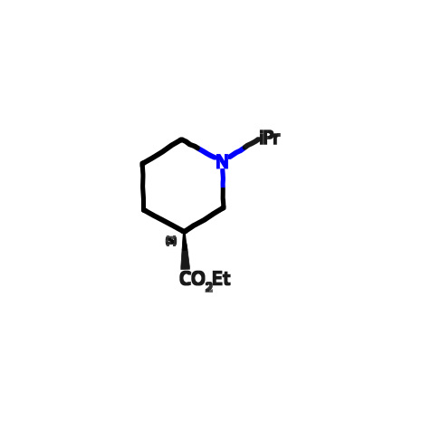 CCOC(=O)[C@H]1CCCN(C(C)C)C1